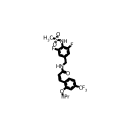 CCCOc1cc(C(F)(F)F)ccc1/C=C\C(=O)NCc1cc(F)c(NS(C)(=O)=O)c(F)c1